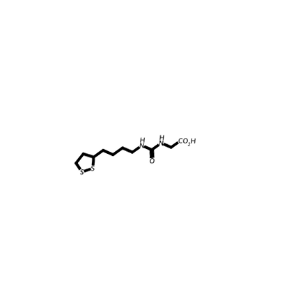 O=C(O)CNC(=O)NCCCCC1CCSS1